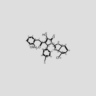 COc1ccccc1CC(=O)C1=C(O)C(=O)N(C2=NC3C(Cl)=CC=CC3S2)C1c1ccc(F)cc1